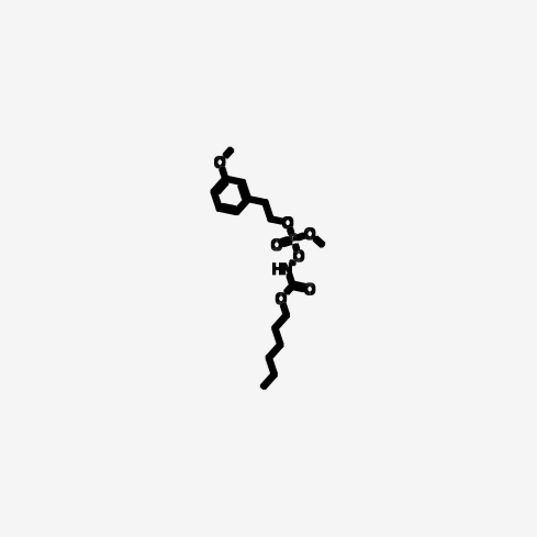 CCCCCCOC(=O)NOP(=O)(OC)OCCc1cccc(OC)c1